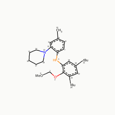 COCOc1c(Pc2ccc(C)cc2N2CCCCC2)cc(C(C)(C)C)cc1C(C)(C)C